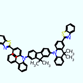 CC1(C)c2cc(N(c3ccc(-c4nc5ccccc5s4)cc3)c3ccccc3-c3ccccc3)ccc2-c2ccc(N3c4ccccc4C(C)(C)c4cc(-c5nc6ccccc6s5)ccc43)cc21